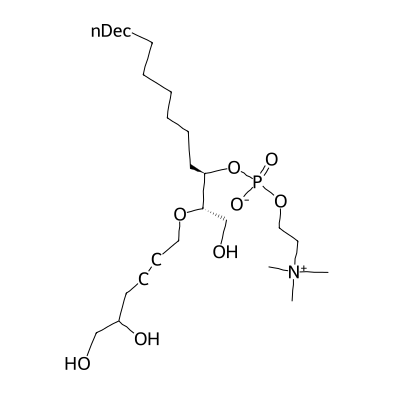 CCCCCCCCCCCCCCCC[C@@H](OP(=O)([O-])OCC[N+](C)(C)C)[C@H](CO)OCCCCC(O)CO